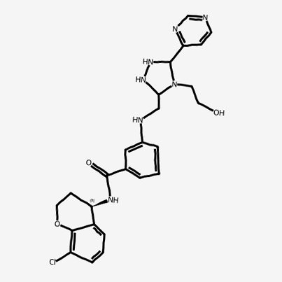 O=C(N[C@@H]1CCOc2c(Cl)cccc21)c1cccc(NCC2NNC(c3ccncn3)N2CCO)c1